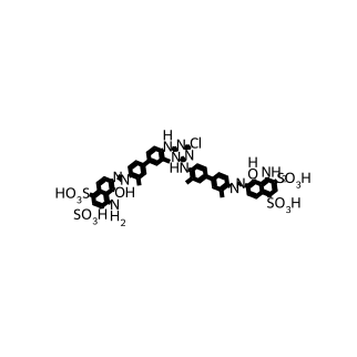 Cc1cc(-c2ccc(Nc3nc(Cl)nc(Nc4ccc(-c5ccc(N=Nc6ccc7c(S(=O)(=O)O)cc(S(=O)(=O)O)c(N)c7c6O)c(C)c5)cc4C)n3)c(C)c2)ccc1N=Nc1ccc2c(S(=O)(=O)O)cc(S(=O)(=O)O)c(N)c2c1O